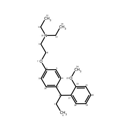 CC[C](c1ccc(OCCN(CC)CC)cc1)c1ccccc1OC